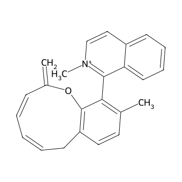 C=C1/C=C\C=C/Cc2ccc(C)c(-c3c4ccccc4cc[n+]3C)c2O1